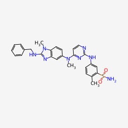 Cc1ccc(Nc2nccc(N(C)c3ccc4c(c3)nc(NCc3ccccc3)n4C)n2)cc1S(N)(=O)=O